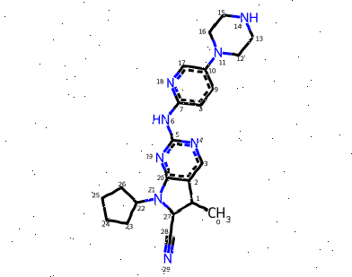 CC1c2cnc(Nc3ccc(N4CCNCC4)cn3)nc2N(C2CCCC2)C1C#N